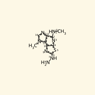 CNc1nc2sc(NN)nc2c2c1ncn2C